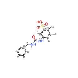 Cc1c(C)c(NC(=O)NCc2ccccc2)c(C)c(S(=O)(=O)O)c1C